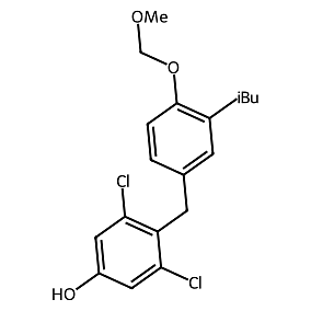 CCC(C)c1cc(Cc2c(Cl)cc(O)cc2Cl)ccc1OCOC